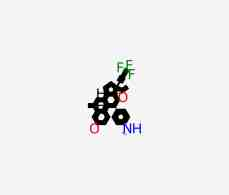 CNc1ccc([C@H]2C[C@@]3(C)[C@@H](CC[C@]3(C#CC(F)(F)F)C(C)=O)[C@@H]3CC(C)C4=CC(=O)CCC4=C32)cc1